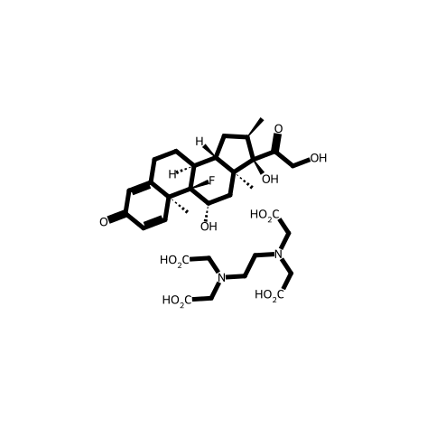 C[C@@H]1C[C@H]2[C@@H]3CCC4=CC(=O)C=C[C@]4(C)[C@@]3(F)[C@@H](O)C[C@]2(C)[C@@]1(O)C(=O)CO.O=C(O)CN(CCN(CC(=O)O)CC(=O)O)CC(=O)O